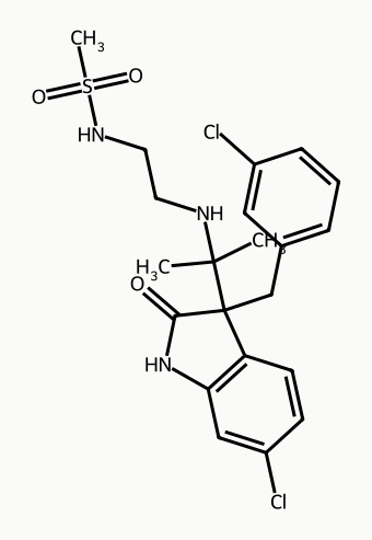 CC(C)(NCCNS(C)(=O)=O)C1(Cc2cccc(Cl)c2)C(=O)Nc2cc(Cl)ccc21